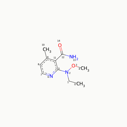 CCN(OC)c1nccc(C)c1C(N)=O